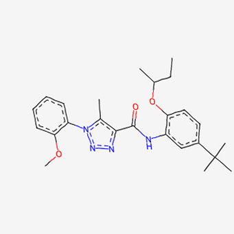 CCC(C)Oc1ccc(C(C)(C)C)cc1NC(=O)c1nnn(-c2ccccc2OC)c1C